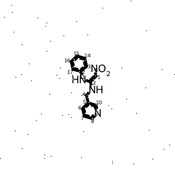 O=[N+]([O-])C=C(NCc1cccnc1)Nc1ccccc1